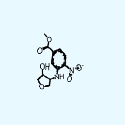 COC(=O)c1ccc([N+](=O)[O-])c(NC2COCC2O)c1